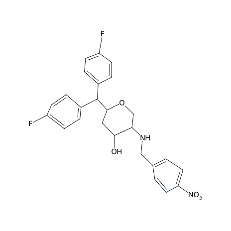 O=[N+]([O-])c1ccc(CNC2COC(C(c3ccc(F)cc3)c3ccc(F)cc3)CC2O)cc1